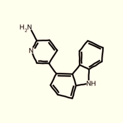 Nc1ccc(-c2cccc3[nH]c4ccccc4c23)cn1